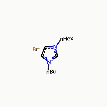 CCCCCCn1cc[n+](CCCC)c1.[Br-]